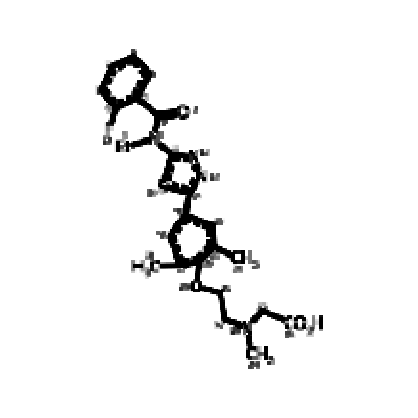 CCN(C(=O)c1ccccc1F)c1nnc(-c2cc(C)c(OCCN(C)CC(=O)O)c(C)c2)s1